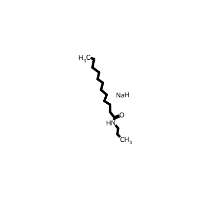 CCCCCCCCCCCC(=O)NCCC.[NaH]